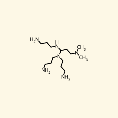 CN(C)CCC(NCCCN)N(CCCN)CCCN